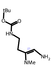 CN/C(=C\N)CCNC(=O)OC(C)(C)C